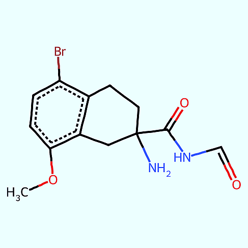 COc1ccc(Br)c2c1CC(N)(C(=O)NC=O)CC2